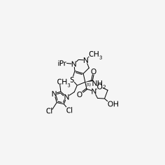 Cc1nc(Cl)c(Cl)n1CC1SC2=C(CN(C)CN2C(C)C)[C@]1(C(N)=O)C(=O)N1CC(O)CO1